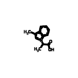 Cc1cn(C(C)C(=O)O)c2ccccc12